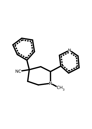 CN1CCC(C#N)(c2ccccc2)CC1c1cccnc1